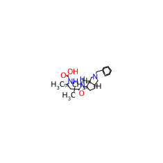 C[C@@H](CC(C)(C)C(=O)N[C@H]1CC[C@@H]2CN(Cc3ccccc3)C[C@@H]21)NC(=O)O